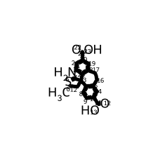 CCCC1(C(N)=S)c2ccc(C(=O)O)cc2CCc2cc(C(=O)O)ccc21